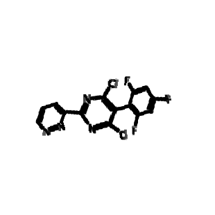 Fc1cc(F)c(-c2c(Cl)nc(-c3cccnn3)nc2Cl)c(F)c1